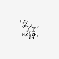 COC(=O)c1cc(Br)cc(C(C)(C)O)c1